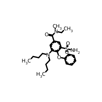 CCCCN(CCCC)c1cc(C(=O)N(C)CC)cc(S(N)(=O)=O)c1Oc1ccccc1